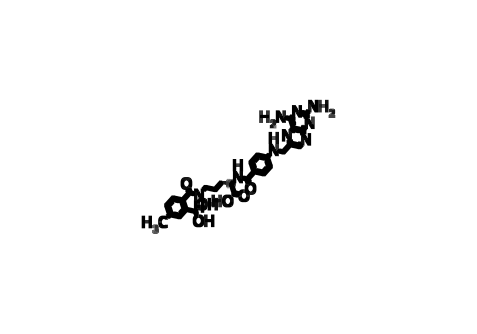 Cc1ccc(C(=O)NCCC[C@H](NC(=O)c2ccc(NCc3cnc4nc(N)nc(N)c4n3)cc2)C(=O)O)c(C(O)O)c1